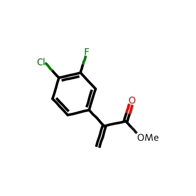 C=C(C(=O)OC)c1ccc(Cl)c(F)c1